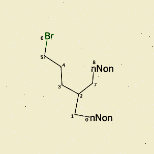 CCCCCCCCCCC(CC[CH]Br)CCCCCCCCCC